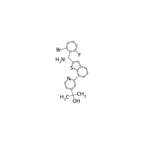 CC(C)(O)c1ccnc(-c2cccc3cc([C@H](N)c4c(F)cccc4Br)sc23)c1